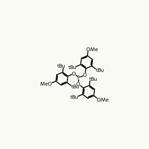 COc1cc(C(C)(C)C)c(OP(Oc2c(C(C)(C)C)cc(OC)cc2C(C)(C)C)Oc2c(C(C)(C)C)cc(OC)cc2C(C)(C)C)c(C(C)(C)C)c1